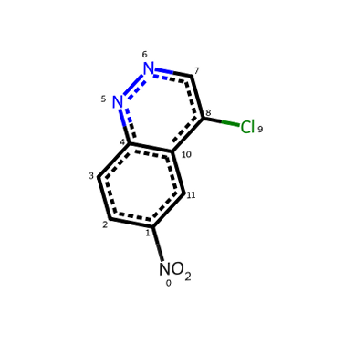 O=[N+]([O-])c1ccc2nncc(Cl)c2c1